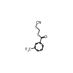 N#CSCSC(=O)c1cccc(C(F)(F)F)c1